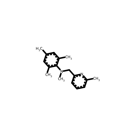 Cc1cc(C)c(N(C)Cc2cccc(C)n2)c(C)c1